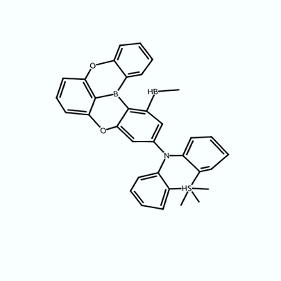 CBc1cc(N2c3ccccc3[SH](C)(C)(C)c3ccccc32)cc2c1B1c3ccccc3Oc3cccc(c31)O2